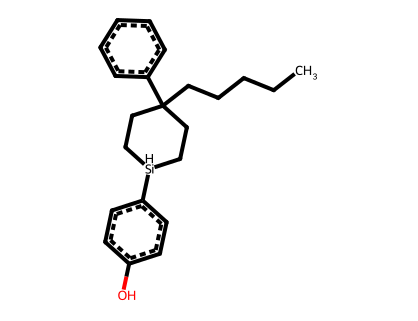 CCCCCC1(c2ccccc2)CC[SiH](c2ccc(O)cc2)CC1